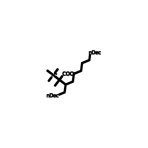 CCCCCCCCCCCCCCCC(CCCCCCCCCCC)C(C)(C(=O)[O-])[N+](C)(C)C